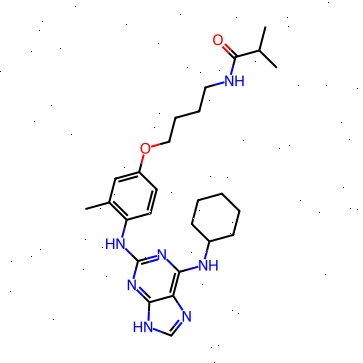 Cc1cc(OCCCCNC(=O)C(C)C)ccc1Nc1nc(NC2CCCCC2)c2nc[nH]c2n1